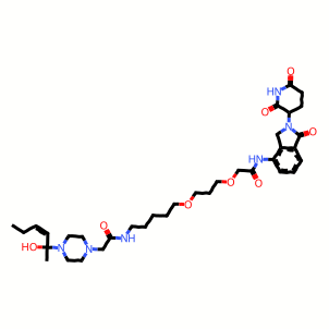 CC/C=C\C(C)(O)N1CCN(CC(=O)NCCCCCOCCCOCC(=O)Nc2cccc3c2CN(C2CCC(=O)NC2=O)C3=O)CC1